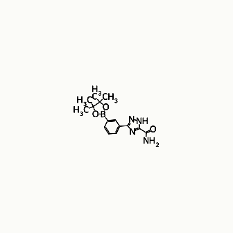 CC1(C)OB(c2cccc(-c3n[nH]c(C(N)=O)n3)c2)OC1(C)C